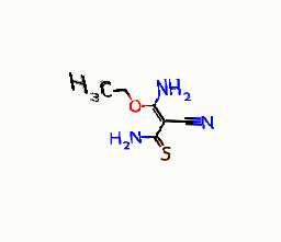 CCO/C(N)=C(/C#N)C(N)=S